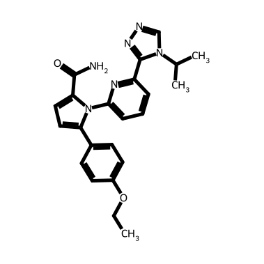 CCOc1ccc(-c2ccc(C(N)=O)n2-c2cccc(-c3nncn3C(C)C)n2)cc1